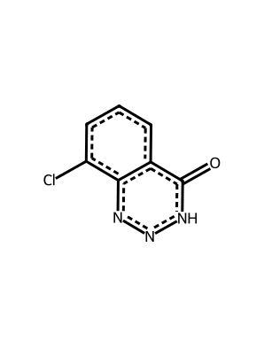 O=c1[nH]nnc2c(Cl)cccc12